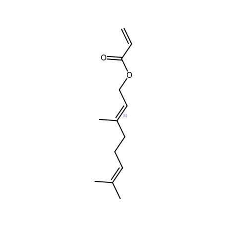 C=CC(=O)OC/C=C(\C)CCC=C(C)C